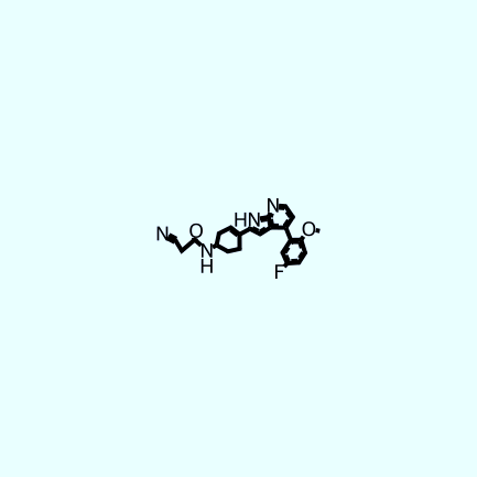 COc1ccc(F)cc1-c1ccnc2[nH]c(C3=CCC(NC(=O)CC#N)CC3)cc12